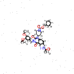 COc1ccc(Cn2c(=O)c3cc(CNC(C)=O)ccc3n(C3CCN(C(=O)OCc4ccccc4)CC3)c2=O)cc1OC